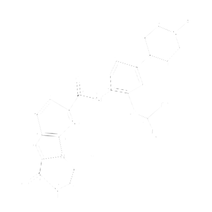 CC(=O)N1CCC(c2ccc(NC(=O)c3ccc4cc5n(c4n3)[C@H](C)CNC5=O)c(OC(F)F)c2)CC1